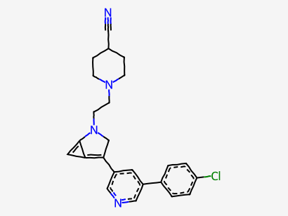 N#CC1CCN(CCN2CC(c3cncc(-c4ccc(Cl)cc4)c3)=C3C=C32)CC1